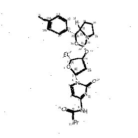 CC[C@H]1O[C@@H](n2ccc(NC(=O)C(C)C)nc2=O)CC1O[P@@]1O[C@H](c2ccc(C)cc2)[C@@H]2CCCN21